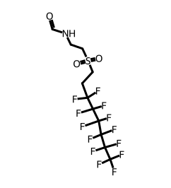 O=CNCCS(=O)(=O)CCC(F)(F)C(F)(F)C(F)(F)C(F)(F)C(F)(F)C(F)(F)F